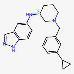 c1cc(CN2CCC[C@H](Nc3ccc4[nH]ncc4c3)C2)cc(C2CC2)c1